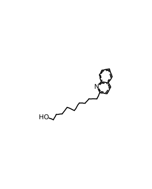 OCCCCCCCCCc1ccc2ccccc2n1